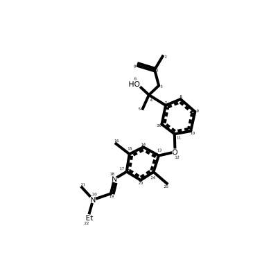 C=C(C)CC(C)(O)c1cccc(Oc2cc(C)c(/N=C/N(C)CC)cc2C)c1